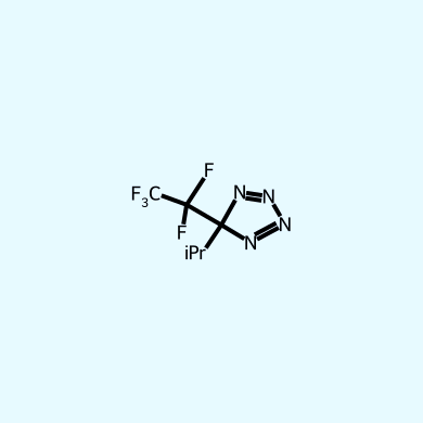 CC(C)C1(C(F)(F)C(F)(F)F)N=NN=N1